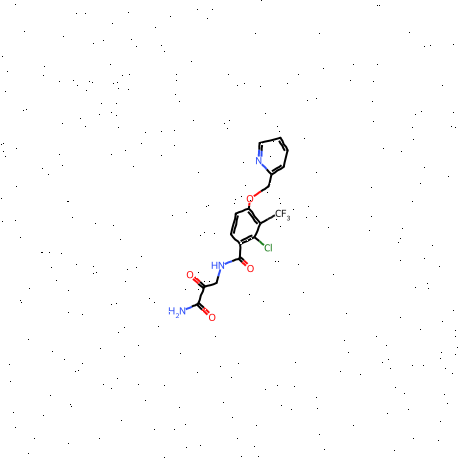 NC(=O)C(=O)CNC(=O)c1ccc(OCc2ccccn2)c(C(F)(F)F)c1Cl